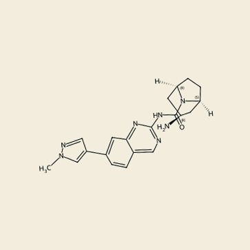 Cn1cc(-c2ccc3cnc(NC(=O)N4[C@@H]5CC[C@H]4C[C@@H](N)C5)nc3c2)cn1